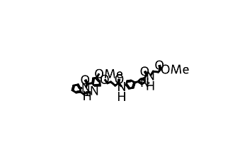 COC(=O)CCNC(=O)c1cc(-c2ccc(NC(=O)CCCOc3cc4c(cc3OC)C(=O)N3c5ccccc5C[C@H]3C=N4)cc2)cn1C